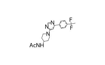 CC(=O)NC1CCN(c2cc(-c3ccc(C(C)(F)F)cc3)ncn2)CC1